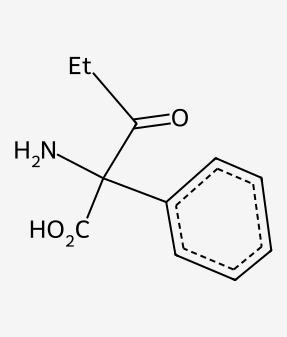 CCC(=O)C(N)(C(=O)O)c1ccccc1